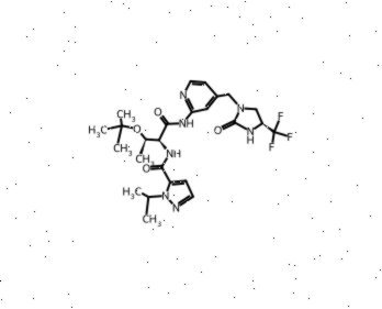 CC(C)n1nccc1C(=O)N[C@H](C(=O)Nc1cc(CN2C[C@@H](C(F)(F)F)NC2=O)ccn1)[C@@H](C)OC(C)(C)C